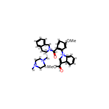 COC(=O)c1cn(-c2cc(OC)ccc2C(=O)N2Cc3ccccc3C[C@H]2CN2CCN(C)CC2)c2ccccc12